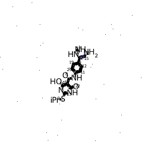 CC(C)Sc1nc(O)c(C(=O)Nc2ccc(/C(=C/N)NN)cc2)c(=O)[nH]1